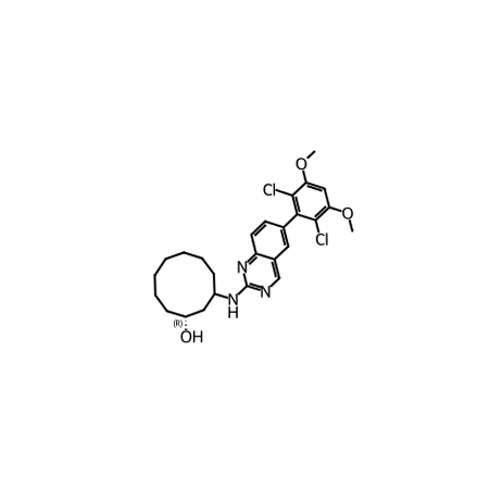 COc1cc(OC)c(Cl)c(-c2ccc3nc(NC4CCCCCCC[C@@H](O)C4)ncc3c2)c1Cl